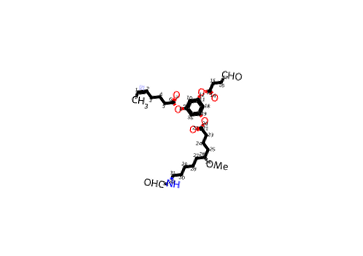 C/C=C\CCCC(=O)Oc1cc(OC(=O)CCC=O)cc(OC(=O)CCCC(CCCCCNC=O)OC)c1